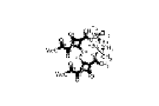 CCCC[Si](C)(C)OC(C)C1C(=O)N(C(=O)C(=O)OC)C1SSC1C(C(C)O[Si](C)(C)CCCC)C(=O)N1C(=O)C(=O)OC